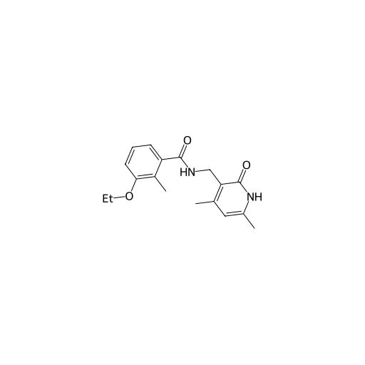 CCOc1cccc(C(=O)NCc2c(C)cc(C)[nH]c2=O)c1C